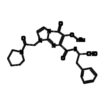 CCCCOc1c(C(=O)SC(C=O)Cc2ccccc2)nc2n(CC(=O)N3CCCCC3)ccn2c1=O